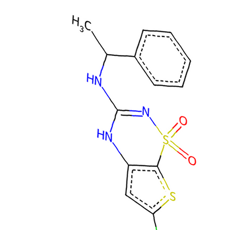 CC(NC1=NS(=O)(=O)c2sc(Cl)cc2N1)c1ccccc1